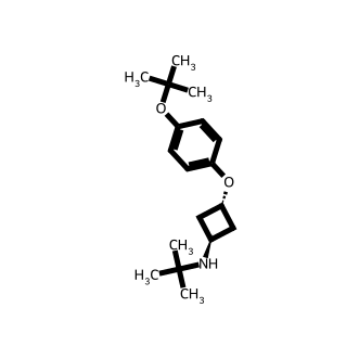 CC(C)(C)N[C@H]1C[C@H](Oc2ccc(OC(C)(C)C)cc2)C1